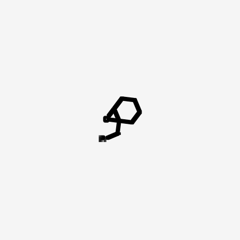 CC(C)[CH]C12CCCCC1O2